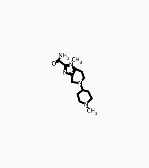 CN1CCC(N2CCc3c(nc(C(N)=O)n3C)C2)CC1